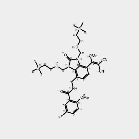 COC(=C(C#N)C#N)c1ccc(CNC(=O)c2cc(F)ccc2OC)c2c1n(COCC[Si](C)(C)C)c(=O)n2COCC[Si](C)(C)C